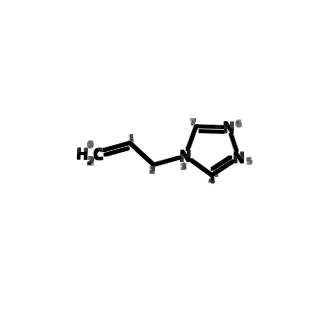 C=CCn1[c]nnc1